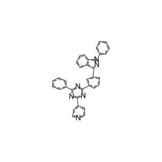 c1ccc(-c2nc(-c3ccncc3)nc(-c3cccc(-c4nn(-c5ccccc5)c5ccccc45)c3)n2)cc1